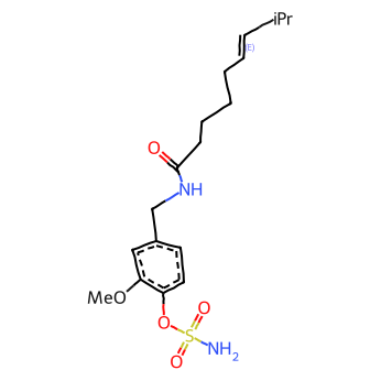 COc1cc(CNC(=O)CCCC/C=C/C(C)C)ccc1OS(N)(=O)=O